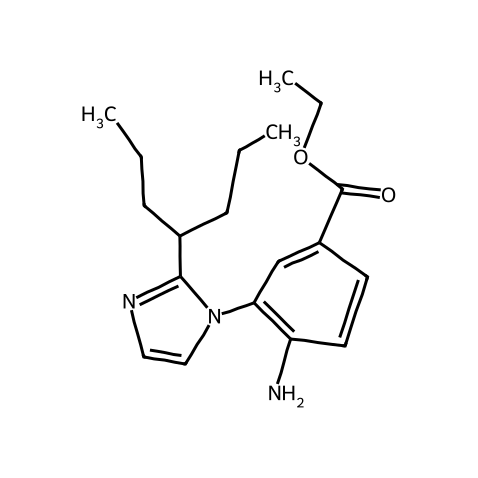 CCCC(CCC)c1nccn1-c1cc(C(=O)OCC)ccc1N